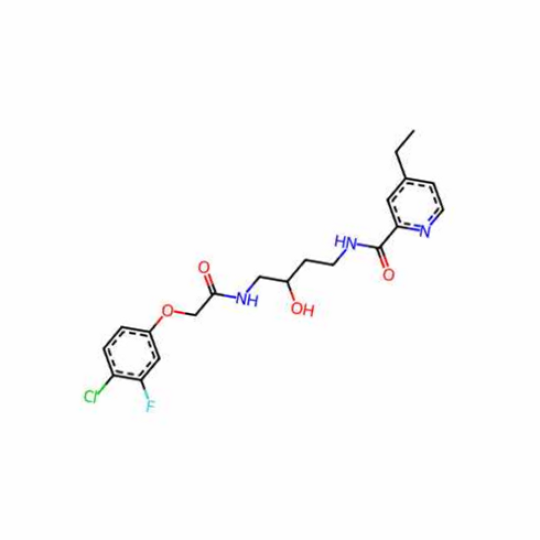 CCc1ccnc(C(=O)NCCC(O)CNC(=O)COc2ccc(Cl)c(F)c2)c1